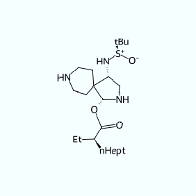 CCCCCCC[C@@H](CC)C(=O)O[C@H]1NC[C@@H](N[S@+]([O-])C(C)(C)C)C12CCNCC2